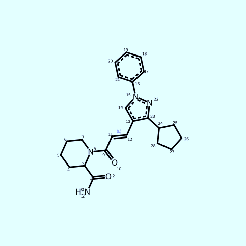 NC(=O)C1CCCCN1C(=O)/C=C/c1cn(-c2ccccc2)nc1C1CCCC1